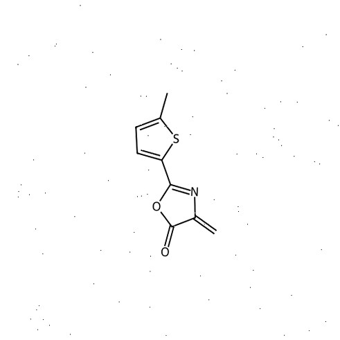 C=C1N=C(c2ccc(C)s2)OC1=O